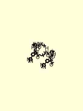 CC(=O)c1nn(CC(=O)N2[C@H](C(=O)N[C@H](C)CC(C)(C)CCC(=O)c3nn(CC(=O)N4[C@H](C(=O)N[C@@H](C)CC(C)(C)C)C[C@@]5(C)C[C@@H]45)c4ccc(-c5cnc(C)nc5)cc34)C[C@@]3(C)C[C@@H]23)c2ccc(-c3cnc(C)nc3)cc12